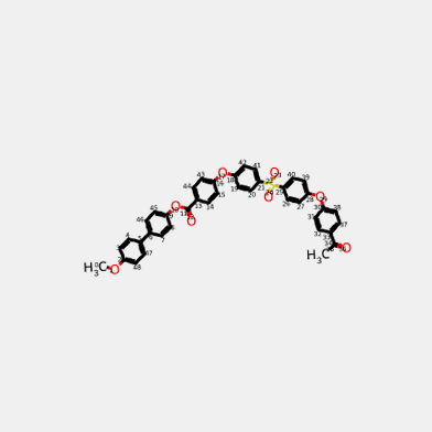 COc1ccc(-c2ccc(OC(=O)c3ccc(Oc4ccc(S(=O)(=O)c5ccc(Oc6ccc(C(C)=O)cc6)cc5)cc4)cc3)cc2)cc1